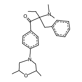 CCC(Cc1ccccc1)(C(=O)c1ccc(N2CC(C)OC(C)C2)cc1)N(C)C